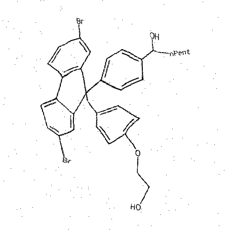 CCCCCC(O)c1ccc(C2(c3ccc(OCCO)cc3)c3cc(Br)ccc3-c3ccc(Br)cc32)cc1